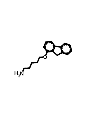 NCCCCCOc1cccc2c1Cc1ccccc1-2